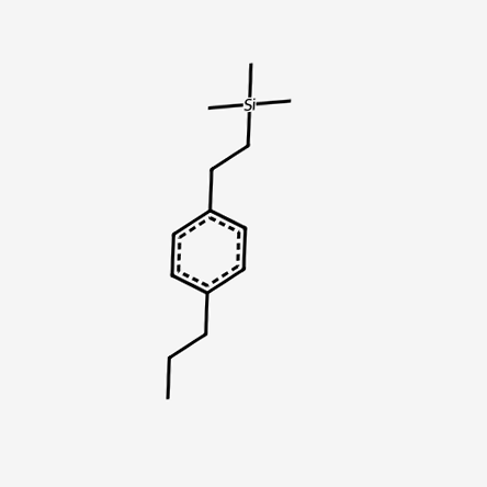 CCCc1ccc(CC[Si](C)(C)C)cc1